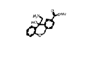 COC(=O)c1ccc2c(c1)C(O)(CN)c1ccccc1OC2